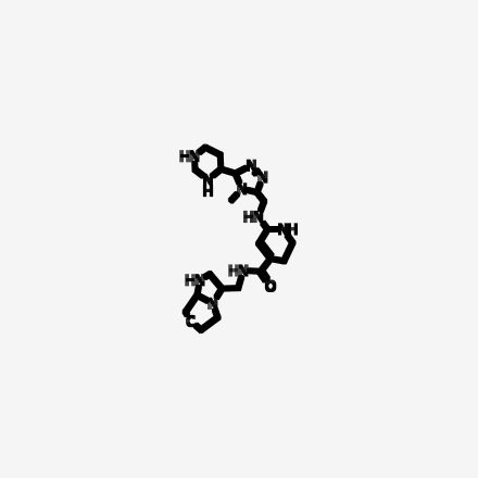 CN1C(CNC2C=C(C(=O)NCC3CNC4CCCCN34)CCN2)N=NC1C1CCNCN1